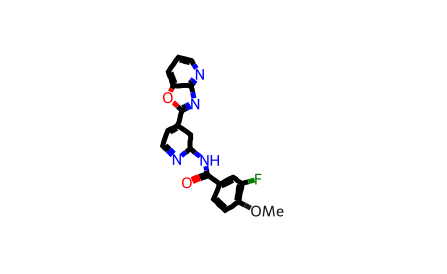 COc1ccc(C(=O)NC2CC(c3nc4ncccc4o3)=CC=N2)cc1F